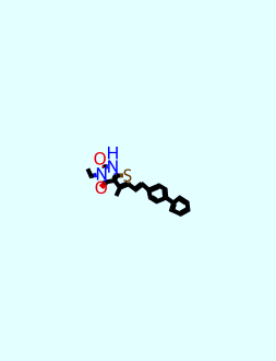 CCn1c(=O)[nH]c2sc(C=Cc3ccc(-c4ccccc4)cc3)c(C)c2c1=O